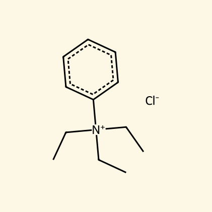 CC[N+](CC)(CC)c1ccccc1.[Cl-]